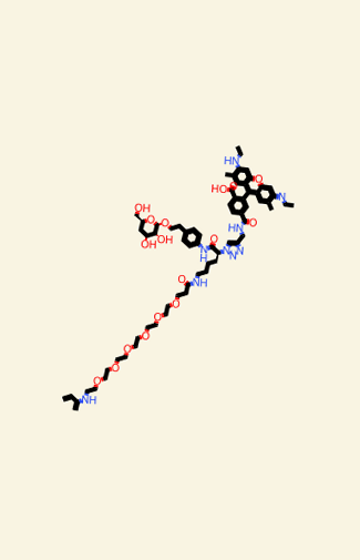 C=CC(=C)NCCOCCOCCOCCOCCOCCOCCC(=O)NCCCC[C@@H](C(=O)Nc1ccc(CCO[C@@H]2O[C@H](CO)C[C@H](O)[C@H]2O)cc1)n1cc(CNC(=O)c2ccc(C(=O)O)c(-c3c4cc(C)/c(=N\CC)cc-4oc4cc(NCC)c(C)cc34)c2)nn1